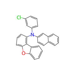 Clc1cccc(N(c2ccc3ccccc3c2)c2cccc3oc4ccccc4c23)c1